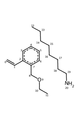 C=Cc1ccccc1COCC.CCCCCCCCN